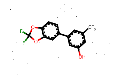 Oc1cc(-c2ccc3c(c2)OC(F)(F)O3)cc(C(F)(F)F)c1